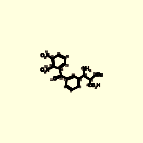 CC(C)(C)C(C(=O)O)C(N)c1cccc(C(=O)c2cccc([N+](=O)[O-])c2[N+](=O)[O-])c1